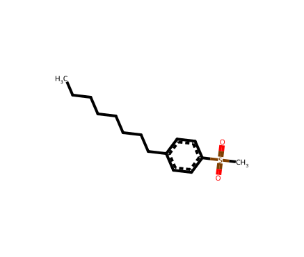 CCCCCCCCc1ccc(S(C)(=O)=O)cc1